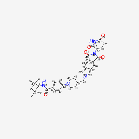 CC1(C)CC(C)(C)C1NC(=O)c1ccc(N2CCC(Cn3cc4cc5c(cc4c3)C(=O)N(C3CCC(=O)NC3=O)C5=O)CC2)cc1